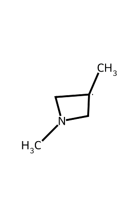 C[C]1CN(C)C1